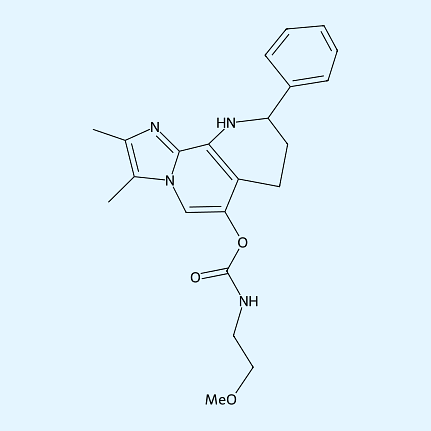 COCCNC(=O)Oc1cn2c(C)c(C)nc2c2c1CCC(c1ccccc1)N2